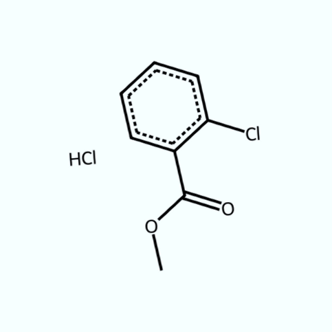 COC(=O)c1ccccc1Cl.Cl